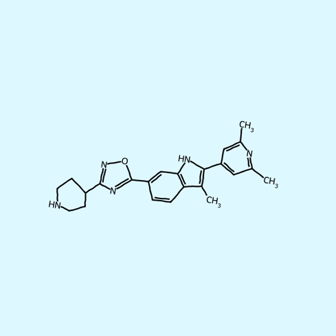 Cc1cc(-c2[nH]c3cc(-c4nc(C5CCNCC5)no4)ccc3c2C)cc(C)n1